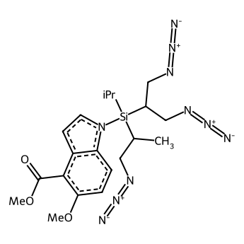 COC(=O)c1c(OC)ccc2c1ccn2[Si](C(C)C)(C(C)CN=[N+]=[N-])C(CN=[N+]=[N-])CN=[N+]=[N-]